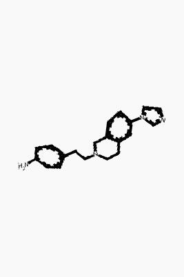 Nc1ccc(CCN2CCc3cc(-n4ccnc4)ccc3C2)cc1